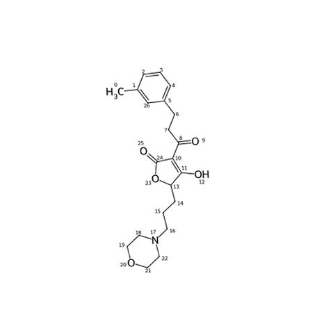 Cc1cccc(CCC(=O)C2=C(O)C(CCCN3CCOCC3)OC2=O)c1